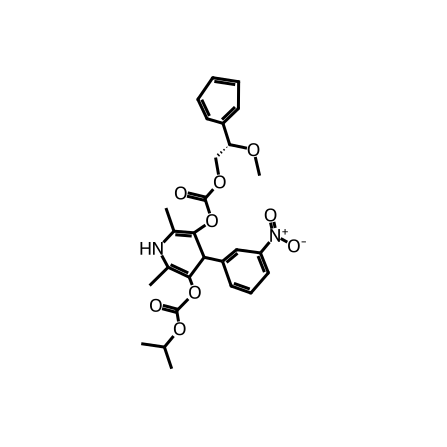 CO[C@H](COC(=O)OC1=C(C)NC(C)=C(OC(=O)OC(C)C)C1c1cccc([N+](=O)[O-])c1)c1ccccc1